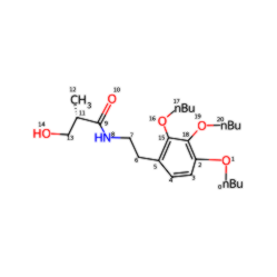 CCCCOc1ccc(CCNC(=O)[C@@H](C)CO)c(OCCCC)c1OCCCC